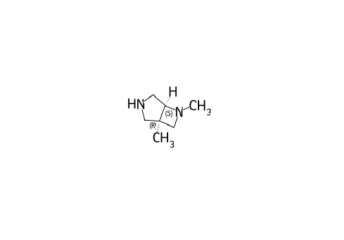 CN1C[C@@]2(C)CNC[C@@H]12